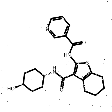 O=C(Nc1sc2c(c1C(=O)N[C@H]1CC[C@H](O)CC1)CCCC2)c1cccnc1